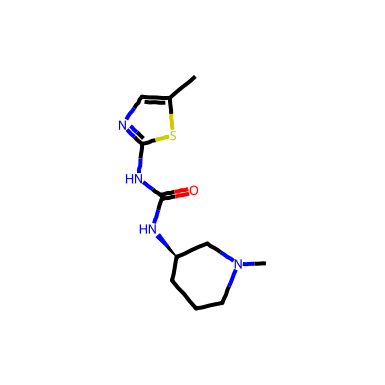 Cc1cnc(NC(=O)N[C@@H]2CCCN(C)C2)s1